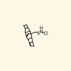 ClNSCC12C=C(C3C4=CCC4C31)C1C3CCC3C12